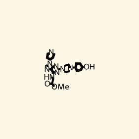 COC(=O)CNc1nc(N2CCN(c3ccc(O)cc3)CC2)nc2c1ncn2-c1ccncc1